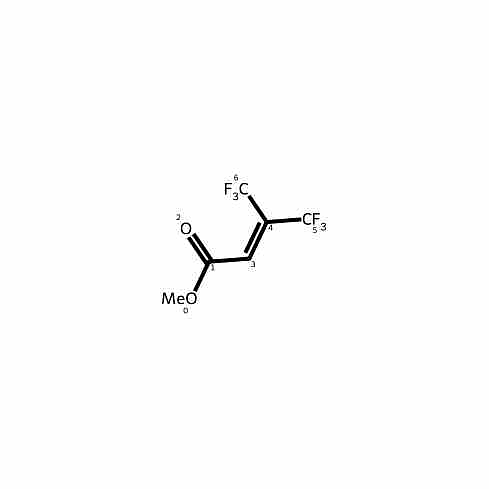 COC(=O)C=C(C(F)(F)F)C(F)(F)F